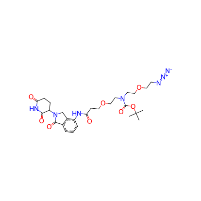 CC(C)(C)OC(=O)N(CCOCCN=[N+]=[N-])CCOCCC(=O)Nc1cccc2c1CN(C1CCC(=O)NC1=O)C2=O